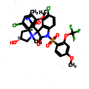 CNC(=O)[C@@H]1C[C@@H](O)C[N+]1(C)C1(c2cc(Cl)ccc2OC)C(=O)N(S(=O)(=O)c2ccc(OC)cc2OC(F)(F)F)c2ccc(Cl)cc21